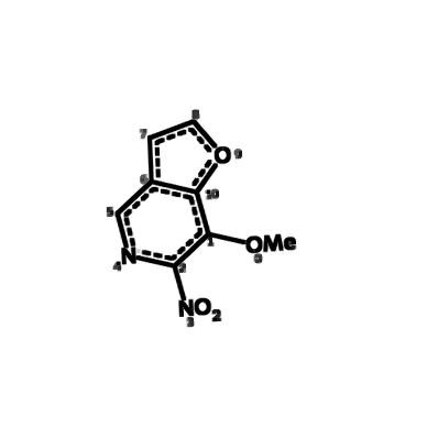 COc1c([N+](=O)[O-])ncc2ccoc12